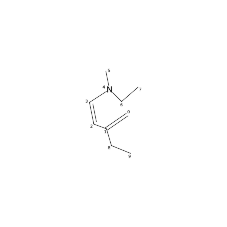 C=C(/C=C\N(C)CC)CC